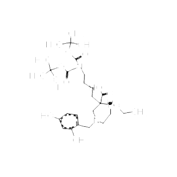 CCOP1(=O)CCN(Cc2ccc(O)cc2C)CC1(CCCCN(C(=O)OC(C)(C)C)C(=O)OC(C)(C)C)C(=O)O